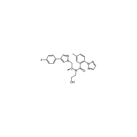 Cc1ccc(-n2nccn2)c(C(=O)N(CCO)[C@@H](C)Cn2cc(-c3ccc(F)cc3)cn2)c1